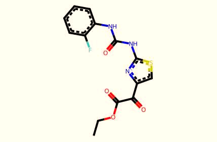 CCOC(=O)C(=O)c1csc(NC(=O)Nc2ccccc2F)n1